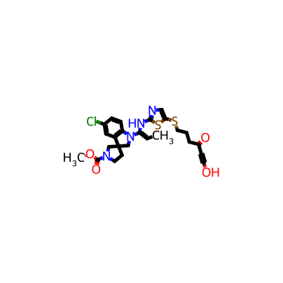 CC=C(Nc1ncc(SCCCC(=O)C#CO)s1)N1CC2(CCN(C(=O)OC)C2)c2cc(Cl)ccc21